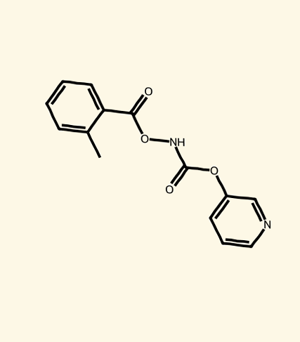 Cc1ccccc1C(=O)ONC(=O)Oc1cccnc1